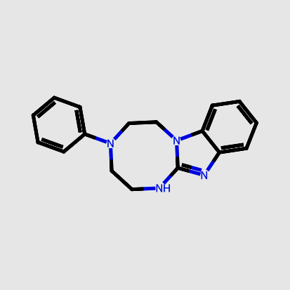 c1ccc(N2CCNc3nc4ccccc4n3CC2)cc1